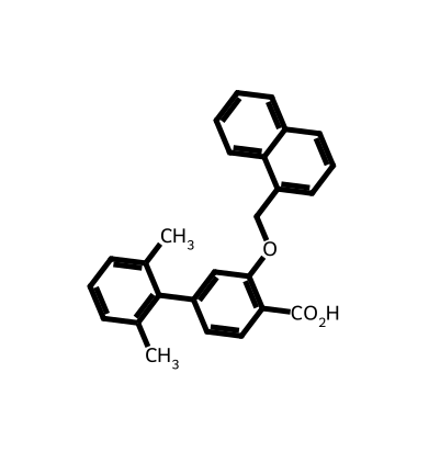 Cc1cccc(C)c1-c1ccc(C(=O)O)c(OCc2cccc3ccccc23)c1